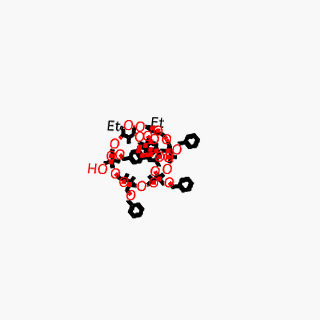 CCC1OC2OC3C(CC)OC(OC4C(CO)OC(OC5C(COCc6ccccc6)OC(OC6C(COCc7ccccc7)OC(OC7C(CO)OC(OC1C(C)C2OCc1ccccc1)C(OCc1ccccc1)C7C)C(C)C6C)C(C)C5OCc1ccccc1)C(C)C4OCc1ccccc1)C(OCc1ccccc1)C3OCc1ccccc1